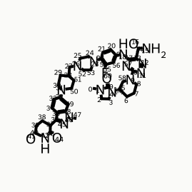 CN1CCN([C@@H]2CCCN(c3nnc(C(N)=O)c(Nc4ccc(N5CCN(CC6CCN(c7ccc8c(C9CCC(=O)NC9=O)nn(C)c8c7)CC6)CC5)c(F)c4)n3)C2)C1=O